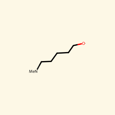 CNCCCCC[O]